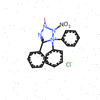 O=[N+]([O-])N1N(I)N=C(c2ccccc2)[N+]1(c1ccccc1)c1ccccc1.[Cl-]